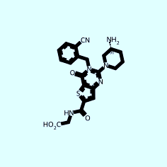 N#Cc1ccccc1Cn1c(N2CCC[C@@H](N)C2)nc2cc(C(=O)NCC(=O)O)sc2c1=O